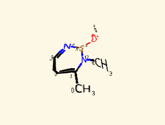 CC1=CC=N[S+]([O-])N1C